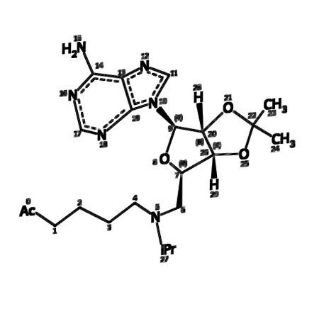 CC(=O)CCCCN(C[C@H]1O[C@@H](n2cnc3c(N)ncnc32)[C@@H]2OC(C)(C)O[C@@H]21)C(C)C